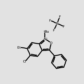 CCc1cc2c(cc1Cl)c(-c1ccccc1)o[n+]2C(C)(C)C.F[B-](F)(F)F